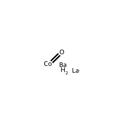 [BaH2].[La].[O]=[Co]